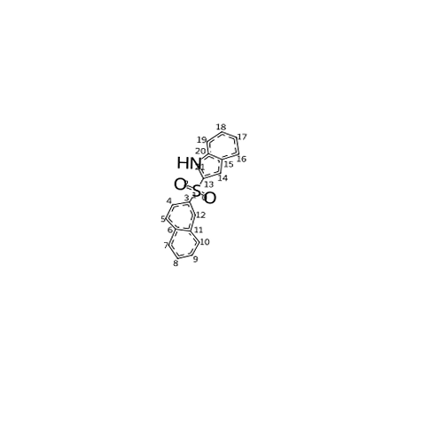 O=S(=O)(c1ccc2ccccc2c1)c1cc2ccccc2[nH]1